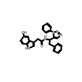 O=C(Cc1c[nH]c2ccc(O)cc12)NC(Cc1ccccc1)c1cnnn1-c1ccccc1